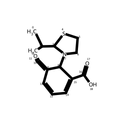 CC(C)C1SCCN1C1C(=C=O)C=CC=C1C(=O)O